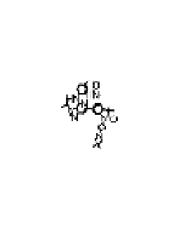 CNC(=O)c1cc(Nc2nc(-c3ccc4c(c3)N([C@H]3C[C@@H](N5CC(C)(C)C5)C3)C(=O)C4(C)C)cc3ncn(C(C)C)c23)ccc1C